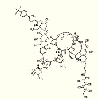 CCC1(NCc2ccc(-c3ccc(C(F)(F)F)cc3)cc2)C[C@H](O[C@@H]2C(O)C(O)[C@@H](CO)O[C@H]2Oc2c3cc4cc2Oc2ccc(cc2Cl)[C@@H](O)[C@@H](NC(=O)[C@@H](CC(C)C)NC)C(=O)N[C@@H](CC(N)=O)C(=O)N[C@H]4C(=O)N[C@H]2C(=O)N[C@H](C(=O)N[C@H](C(=O)O)c4cc(O)c(CNCCCNC(=O)[C@H](O)[C@@H](O)[C@H](O)[C@H](O)CO)c(O)c4-c4cc2ccc4O)[C@H](O)c2ccc(c(Cl)c2)O3)C[C@@H](C)[C@H]1O